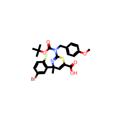 COc1ccc(CN(C(=O)OC(C)(C)C)C2=NC(C)(c3cc(Br)ccc3F)C=C(C(=O)O)S2)cc1